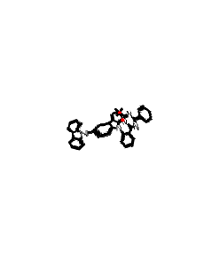 CC(C)(C)c1nc(C2=CCCC=C2)nc(-c2ccccc2-n2c3ccccc3c3cc(-n4c5ccccc5c5ccccc54)ccc32)n1